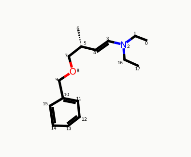 CCN(C=C[C@@H](C)COCc1ccccc1)CC